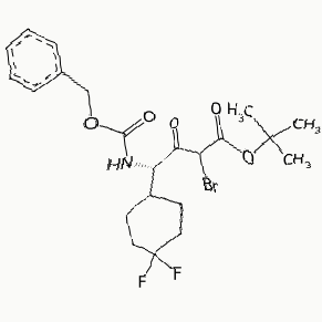 CC(C)(C)OC(=O)C(Br)C(=O)[C@@H](NC(=O)OCc1ccccc1)C1CCC(F)(F)CC1